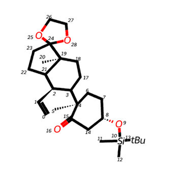 C=C[C@@H]1C([C@@]2(C)CC[C@H](O[Si](C)(C)C(C)(C)C)CC2=O)CC[C@@]2(C)C1CCC21OCCO1